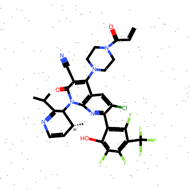 C=CC(=O)N1CCN(c2c(C#N)c(=O)n(C3C(C(C)C)=NC=C[C@H]3C)c3nc(-c4c(O)c(F)c(F)c(C(F)(F)F)c4F)c(Cl)cc23)CC1